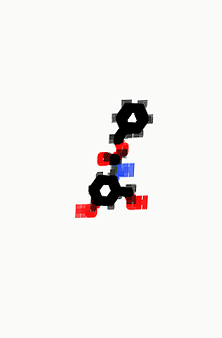 O=C(NC1CCC(O)CC1CO)OCc1ccccc1